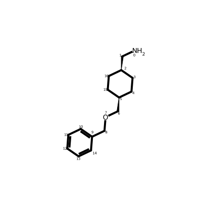 NC[C@H]1CC[C@@H](COCc2ccccc2)CC1